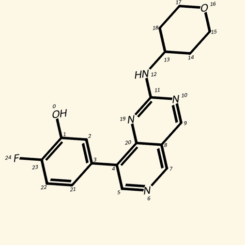 Oc1cc(-c2cncc3cnc(NC4CCOCC4)nc23)ccc1F